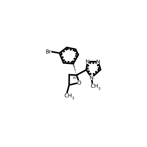 CC1C[C@@](c2cccc(Br)c2)(c2nncn2C)O1